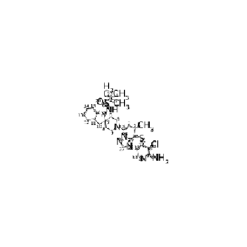 Cc1cc(N2CCC3(CC2)Cc2ccccc2[C@H]3N[S@+]([O-])C(C)(C)C)n2ncnc2c1Sc1ccnc(N)c1Cl